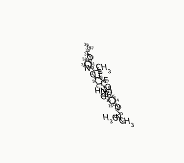 CC[C@@H](Oc1ccc(C(=O)NS(=O)(=O)c2ccc(OCCN(C)C)cc2)c(F)c1F)c1cc(OCC2CC2)ccn1